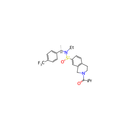 CCN([C@@H](C)c1ccc(C(F)(F)F)cc1)[S+]([O-])c1ccc2c(c1)CN(C(=O)C(C)C)CC2